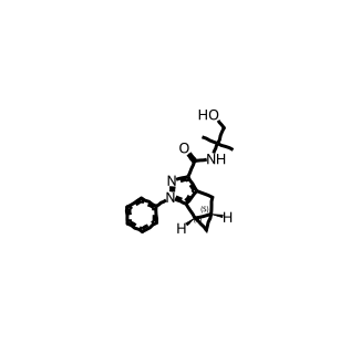 CC(C)(CO)NC(=O)c1nn(-c2ccccc2)c2c1C[C@@H]1C[C@H]21